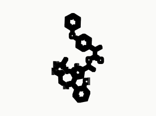 Cc1nnc2n1-c1sc(C(C)OC(=O)C(C)c3ccc(Oc4ccccc4)cc3)cc1C(c1ccccc1Cl)=NC2